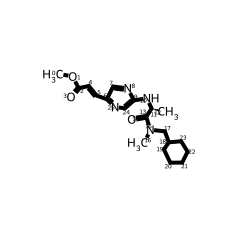 COC(=O)/C=C/c1cnc(N[C@H](C)C(=O)N(C)CC2CCCCC2)cn1